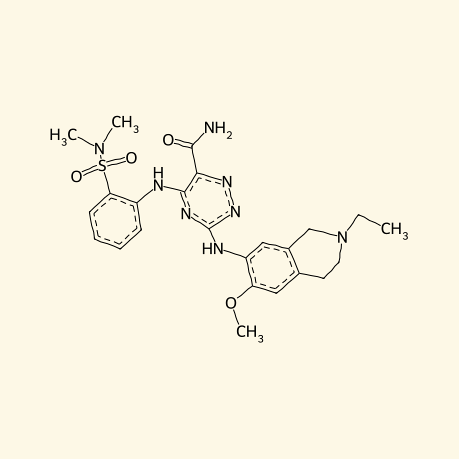 CCN1CCc2cc(OC)c(Nc3nnc(C(N)=O)c(Nc4ccccc4S(=O)(=O)N(C)C)n3)cc2C1